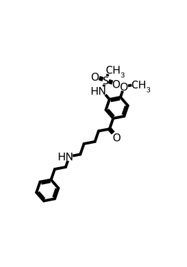 COc1ccc(C(=O)CCCCNCCc2ccccc2)cc1NS(C)(=O)=O